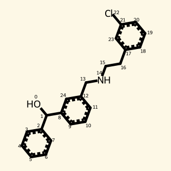 OC(c1ccccc1)c1cccc(CNCCc2cccc(Cl)c2)c1